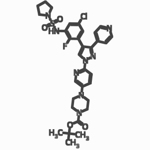 CC(C)(C)OC(=O)N1CCN(c2ccc(-n3cc(-c4cc(Cl)cc(NS(=O)(=O)N5CCCC5)c4F)c(-c4ccncc4)n3)nc2)CC1